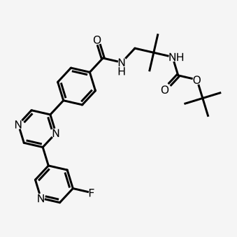 CC(C)(CNC(=O)c1ccc(-c2cncc(-c3cncc(F)c3)n2)cc1)NC(=O)OC(C)(C)C